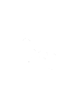 CC(C)NC(CCC(=O)O)C(=O)NC(CCC(=O)O)C(=O)NCCNC(=O)C(C)(C)C